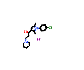 Cc1cc(C(=O)CCN2CCCCC2)c(C)n1-c1ccc(Cl)cc1.I